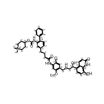 CCOc1cc(NC(=O)CCCc2ccc(-c3ccccc3)c(NC(=O)OC3CC[N+](C)(C)CC3)c2)c(Cl)cc1CNC[C@@H](O)c1ccc(O)c2[nH]c(=O)ccc12